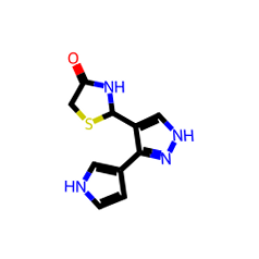 O=C1CSC(c2c[nH]nc2-c2cc[nH]c2)N1